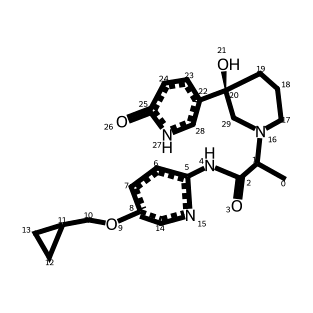 CC(C(=O)Nc1ccc(OCC2CC2)cn1)N1CCC[C@@](O)(c2ccc(=O)[nH]c2)C1